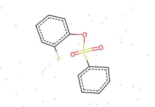 O=S(=O)(Oc1ccccc1F)c1ccccc1